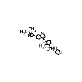 Cc1c(Oc2ccnc3cc(-c4cnn(C(C)C)c4)ccc23)cccc1C(=O)NCc1ccncc1